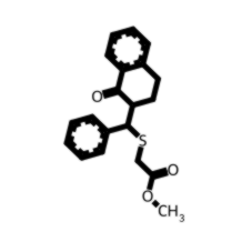 COC(=O)CSC(c1ccccc1)C1CCc2ccccc2C1=O